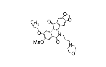 C=CCOc1cc2c3c(n(CCCN4CCOCC4)c(=O)c2cc1OC)-c1cc2c(cc1C3=O)OCO2